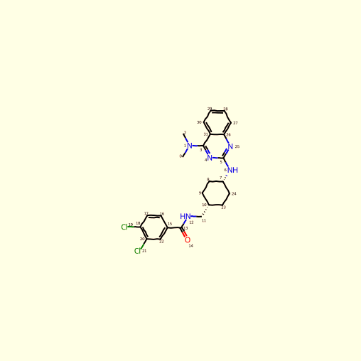 CN(C)c1nc(N[C@H]2CC[C@@H](CNC(=O)c3ccc(Cl)c(Cl)c3)CC2)nc2ccccc12